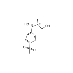 C[C@@H](CO)[C@@H](O)c1ccc(S(C)(=O)=O)cc1